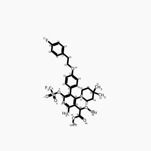 Cc1nc(OS(=O)(=O)C(F)(F)F)c(-c2ccc(OCCc3ccc(F)cc3)cc2)c(N2CCC(C)(C)CC2)c1C(OC(C)(C)C)C(=O)OC(C)C